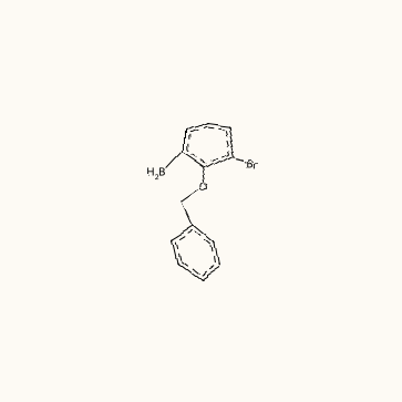 Bc1cccc(Br)c1OCc1ccccc1